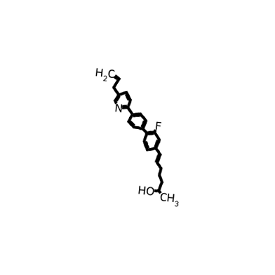 C=CCc1ccc(-c2ccc(-c3ccc(/C=C/CCCC(C)O)cc3F)cc2)nc1